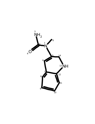 CN(C(N)=O)C1=Cc2ccccc2NC1